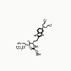 CCOC(=O)[C@H](CC(C)C)OC(=O)[C@@H](CCc1nc2cc(N(CCCl)CCCl)ccc2n1C)NC(=O)OC(C)(C)C